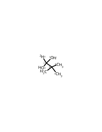 [2H]C(O)(O)C(C)(C)C